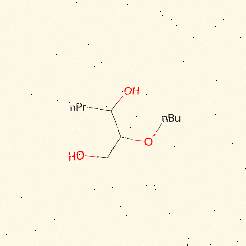 CCCCOC(CO)C(O)CCC